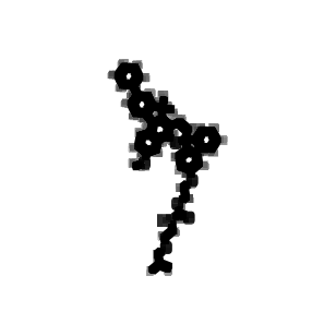 C=C(C)COCCNC(=O)OCCOc1ccc(C2(c3ccccc3)C=Cc3c4c(c5ccc(OC)cc5c3O2)-c2ccc(-c3ccccc3)cc2C4(C)C)cc1